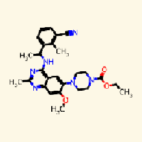 CCOC(=O)N1CCN(c2cc3c(NC(C)c4cccc(C#N)c4C)nc(C)nc3cc2OC)CC1